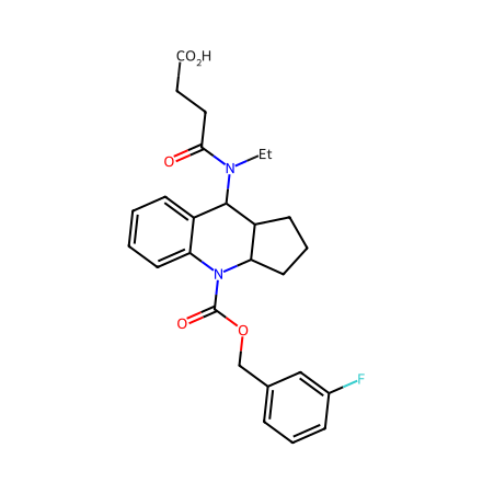 CCN(C(=O)CCC(=O)O)C1c2ccccc2N(C(=O)OCc2cccc(F)c2)C2CCCC12